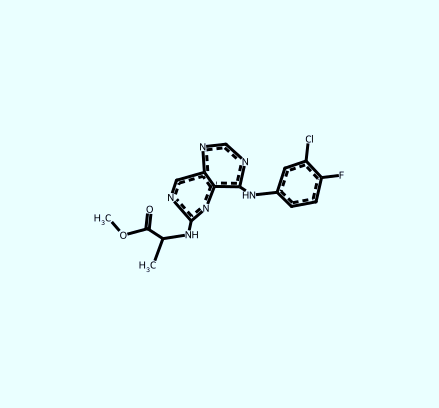 COC(=O)C(C)Nc1ncc2ncnc(Nc3ccc(F)c(Cl)c3)c2n1